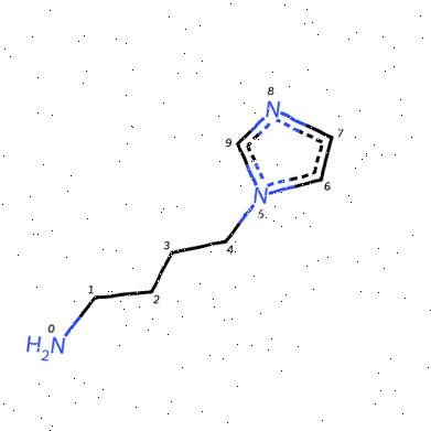 NCCCCn1ccnc1